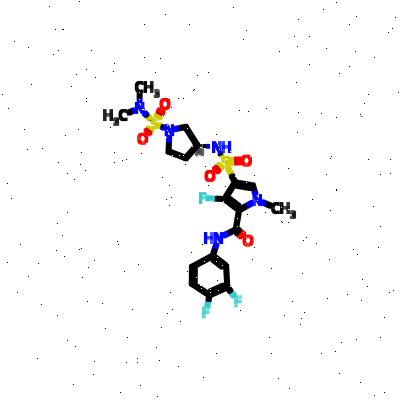 CN(C)S(=O)(=O)N1CC[C@@H](NS(=O)(=O)c2cn(C)c(C(=O)Nc3ccc(F)c(F)c3)c2F)C1